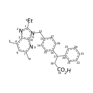 CCc1nc2c(C)cc(C)nc2n1Cc1ccc(C(CC(=O)O)c2ccccc2)cc1